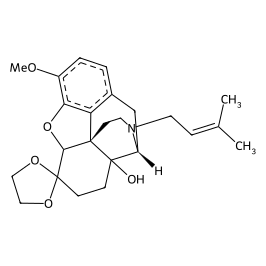 COc1ccc2c3c1OC1C4(CCC5(O)[C@@H](C2)N(CC=C(C)C)CC[C@]315)OCCO4